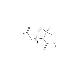 C=C(OC)N1C(C)(C)C=C[C@@]1(C)CC(C)=O